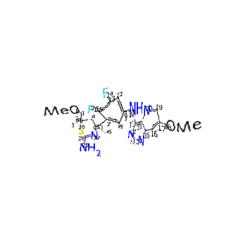 COC[C@@]1(C)C[C@@](C)(c2cc(Nc3ncnc4cc(OC)cnc34)cc(F)c2F)N=C(N)S1